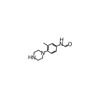 Cc1cc(NC=O)ccc1N1CCNCC1